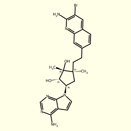 C[C@]1(CCc2ccc3cc(Br)c(N)nc3c2)C[C@@H](n2ccc3c(N)ncnc32)[C@H](O)[C@]1(C)O